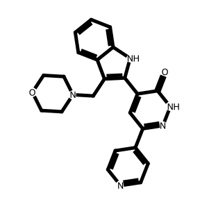 O=c1[nH]nc(-c2ccncc2)cc1-c1[nH]c2ccccc2c1CN1CCOCC1